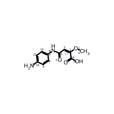 CO/C(=C/C(=O)Nc1ccc(N)cc1)C(=O)O